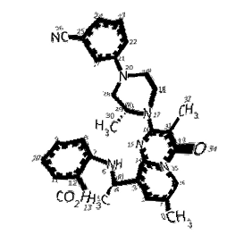 Cc1cc([C@@H](C)Nc2ccccc2C(=O)O)c2nc(N3CCN(c4cccc(C#N)c4)C[C@H]3C)c(C)c(=O)n2c1